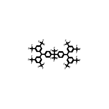 FC(F)(F)c1cc(C(c2ccc(C(c3ccc(C(c4cc(C(F)(F)F)cc(C(F)(F)F)c4)c4cc(C(F)(F)F)cc(C(F)(F)F)c4)cc3)(C(F)(F)F)C(F)(F)F)cc2)c2cc(C(F)(F)F)cc(C(F)(F)F)c2)cc(C(F)(F)F)c1